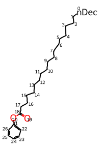 CCCCCCCCCCCCCCCCCCCCCCCCCCCC(=O)Oc1ccccc1